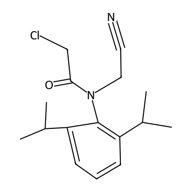 CC(C)c1cccc(C(C)C)c1N(CC#N)C(=O)CCl